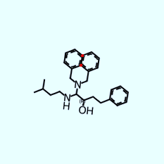 CC(C)CCNC([C@H](O)CCc1ccccc1)N(Cc1ccccc1)Cc1ccccc1